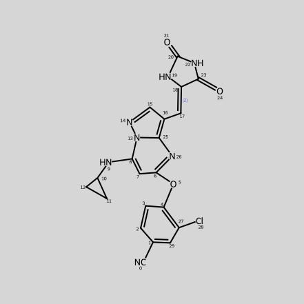 N#Cc1ccc(Oc2cc(NC3CC3)n3ncc(/C=C4\NC(=O)NC4=O)c3n2)c(Cl)c1